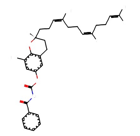 CC(C)=CCCC(C)=CCCC(C)=CCC[C@]1(C)CCc2cc(OC(=O)NC(=O)c3ccccc3)cc(C)c2O1